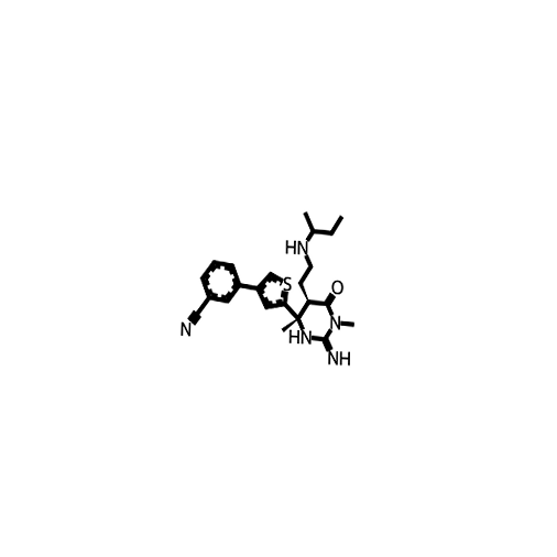 CCC(C)NCC[C@H]1C(=O)N(C)C(=N)N[C@]1(C)c1cc(-c2cccc(C#N)c2)cs1